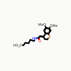 COc1cc2c(cc1OC)/C(=C/C(=O)NCCCCCC(=O)O)CCS2